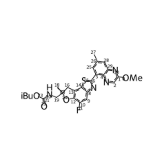 COc1cnc2c(-c3nc4cc(F)c5c(c4s3)C[C@@](C)(CNC(=O)OCC(C)C)O5)cc(C)cc2n1